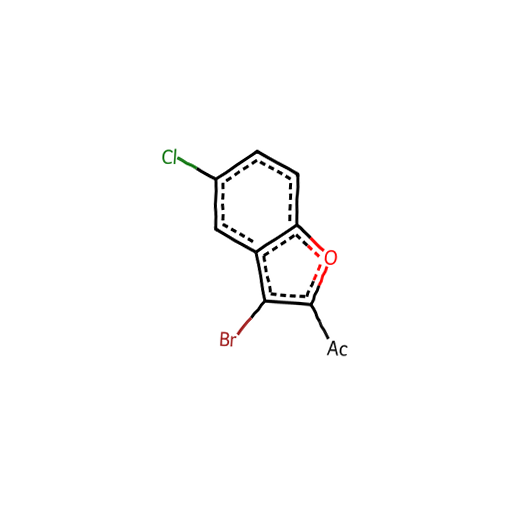 CC(=O)c1oc2ccc(Cl)cc2c1Br